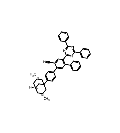 C[C@@H]1C[C@@H]2C[C@H](C)CC(c3ccc(-c4cc(-c5ccccc5)c(-c5nc(-c6ccccc6)nc(-c6ccccc6)n5)cc4C#N)cc3)(C1)C2